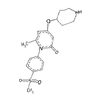 Cc1cc(OC2CCNCC2)cc(=O)n1-c1ccc(S(C)(=O)=O)cc1